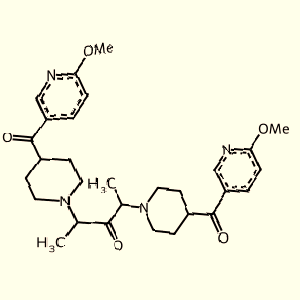 COc1ccc(C(=O)C2CCN(C(C)C(=O)C(C)N3CCC(C(=O)c4ccc(OC)nc4)CC3)CC2)cn1